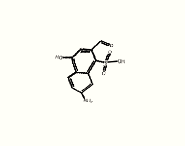 Nc1ccc2c(O)cc(C=O)c(S(=O)(=O)O)c2c1